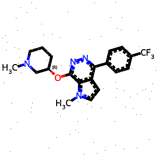 CN1CCC[C@@H](Oc2nnc(-c3ccc(C(F)(F)F)cc3)c3ccn(C)c23)C1